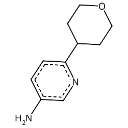 Nc1ccc(C2CCOCC2)nc1